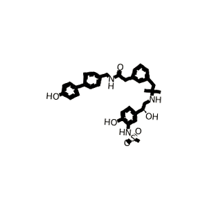 CC(C)(Cc1cccc(CC(=O)NCc2ccc(-c3ccc(O)cc3)cc2)c1)NC[C@H](O)c1ccc(O)c(NS(C)(=O)=O)c1